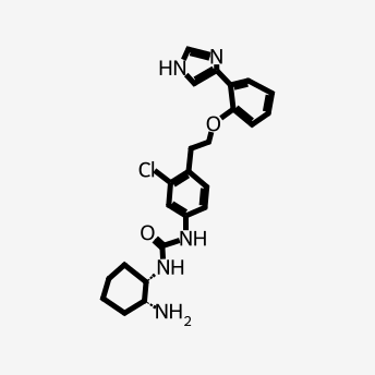 N[C@@H]1CCCC[C@@H]1NC(=O)Nc1ccc(CCOc2ccccc2-c2c[nH]cn2)c(Cl)c1